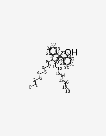 CCCCCCCCCC(CCCCCCCCC)c1ccccc1C(C)(C)c1ccccc1O